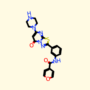 O=C(Nc1cccc(-c2nn3c(=O)cc(N4CCNCC4)nc3s2)c1)C1=C=COC=C1